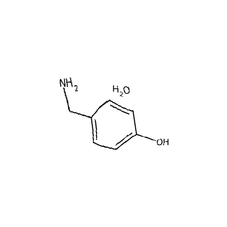 NCc1ccc(O)cc1.O